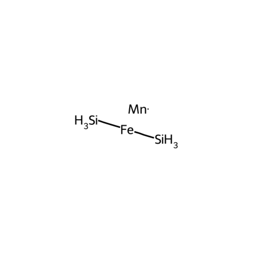 [Mn].[SiH3][Fe][SiH3]